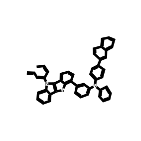 C=C/C=C(\C=C/C)n1c2ccccc2c2sc3c(-c4cccc(N(c5ccccc5)c5ccc(-c6ccc7ccccc7c6)cc5)c4)cccc3c21